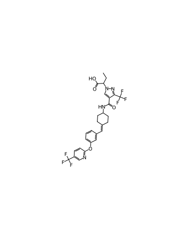 CCC(C(=O)O)n1cc(C(=O)NC2CCC(=Cc3cccc(Oc4ccc(C(F)(F)F)cn4)c3)CC2)c(C(F)(F)F)n1